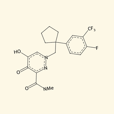 CNC(=O)c1nn(CC2(c3ccc(F)c(C(F)(F)F)c3)CCCC2)cc(O)c1=O